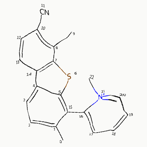 Cc1ccc2c(sc3c(C)c(C#N)ccc32)c1-c1cccc[n+]1C